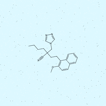 CCCCC(C#N)(CCc1c(OC)ccc2ccccc12)Cn1cnnc1